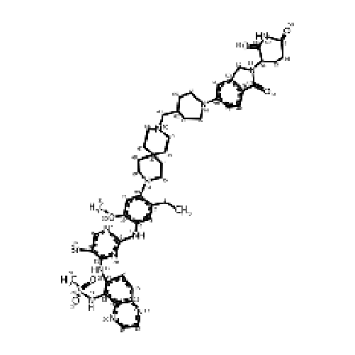 CCc1cc(Nc2ncc(Br)c(Nc3ccc4nccnc4c3NS(C)(=O)=O)n2)c(OC)cc1N1CCC2(CCN(CC3CCN(c4ccc5c(c4)CN(C4CCC(=O)NC4=O)C5=O)CC3)CC2)CC1